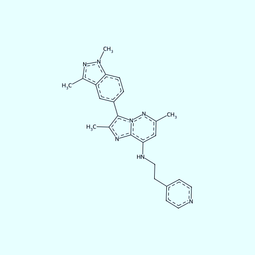 Cc1cc(NCCc2ccncc2)c2nc(C)c(-c3ccc4c(c3)c(C)nn4C)n2n1